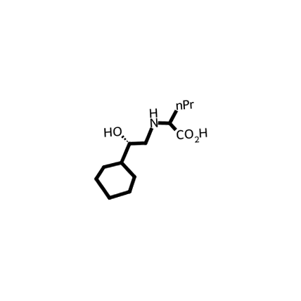 CCCC(NC[C@@H](O)C1CCCCC1)C(=O)O